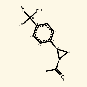 CC(=O)[C@@H]1C[C@@H]1c1ccc(C(F)(F)F)cc1